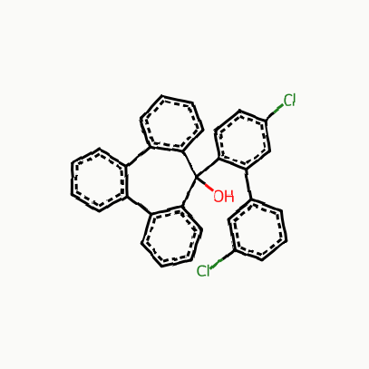 OC1(c2ccc(Cl)cc2-c2cccc(Cl)c2)c2ccccc2-c2ccccc2-c2ccccc21